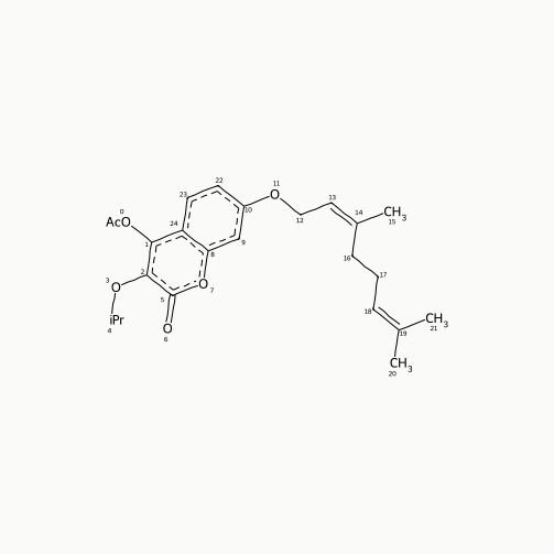 CC(=O)Oc1c(OC(C)C)c(=O)oc2cc(OCC=C(C)CCC=C(C)C)ccc12